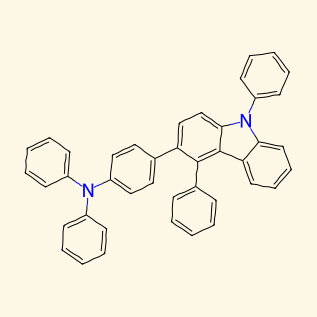 c1ccc(-c2c(-c3ccc(N(c4ccccc4)c4ccccc4)cc3)ccc3c2c2ccccc2n3-c2ccccc2)cc1